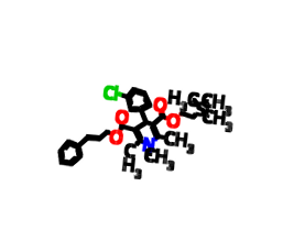 CC1=C(C(=O)OC/C=C/c2ccccc2)C(c2cccc(Cl)c2)C(C(=O)OCC[Si](C)(C)C)=C(C)N1C